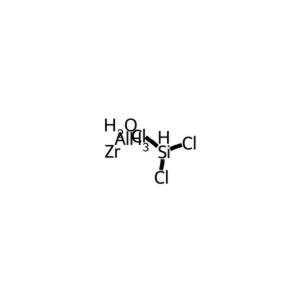 Cl[SiH](Cl)Cl.O.[AlH3].[Zr]